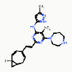 Cc1cc(Nc2nc(/C=C/C3=CCC4C[C@@H]4C=C3)nc(N3CCCNCC3)c2[N+](=O)[O-])[nH]n1